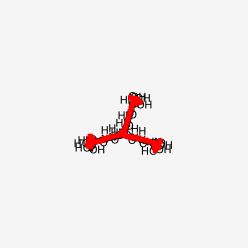 CC(=O)NC1C(OCCCCC(=O)NCCCNC(=O)CCOCC(COCCC(=O)NCCCNC(=O)CCCCOC2OC(CO)C(O)C(O)C2NC(C)=O)(COCCC(=O)NCCCNC(=O)CCCCOC2OC(CO)C(O)C(O)C2NC(C)=O)NI)OC(CO)C(O)C1O